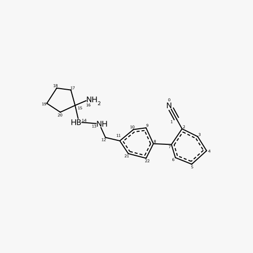 N#Cc1ccccc1-c1ccc(CNBC2(N)CCCC2)cc1